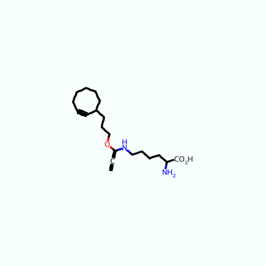 C=C=C(NCCCCC(N)C(=O)O)OCCCC1C#CCCCCC1